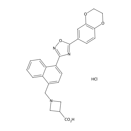 Cl.O=C(O)C1CN(Cc2ccc(-c3noc(-c4ccc5c(c4)OCCO5)n3)c3ccccc23)C1